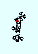 CN1C(C)(C)CC(Oc2nc(NCCCCCCN(CCCCCCNc3nc(OC4CC(C)(C)N(C)C(C)(C)C4)nc(N(C4CC(C)(C)N(C)C(C)(C)C4)C4CC(C)(C)N(C)C(C)(C)C4)n3)c3nc(OC4CC(C)(C)N(C)C(C)(C)C4)nc(N(C4CC(C)(C)N(C)C(C)(C)C4)C4CC(C)(C)N(C)C(C)(C)C4)n3)nc(N(C3CC(C)(C)N(C)C(C)(C)C3)C3CC(C)(C)N(C)C(C)(C)C3)n2)CC1(C)C